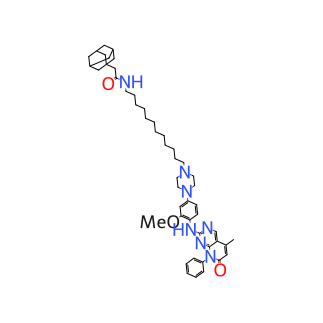 COc1cc(N2CCN(CCCCCCCCCCCCNC(=O)CC34CC5CC(CC(C5)C3)C4)CC2)ccc1Nc1ncc2c(C)cc(=O)n(-c3ccccc3)c2n1